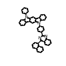 c1ccc(-n2c3ccccc3c3cc4c(cc32)c2ccccc2n4-c2ccc(-c3nc(-c4cccc5ccccc45)c4ccccc4n3)cc2)cc1